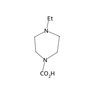 CCN1CCN(C(=O)O)CC1